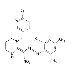 Cc1cc(C)c(/N=N/C(=C2/NCCCN2Cc2ccc(Cl)nc2)[N+](=O)[O-])c(C)c1